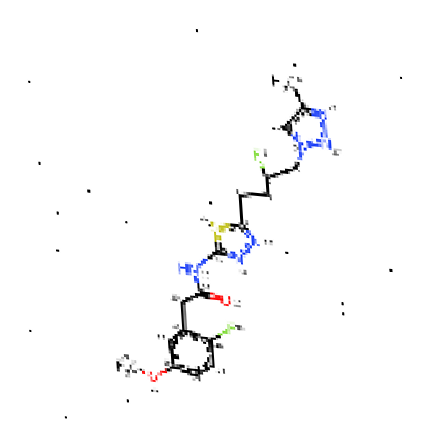 Cc1cn(CC(F)CCc2nnc(NC(=O)Cc3cc(OC(F)(F)F)ccc3F)s2)nn1